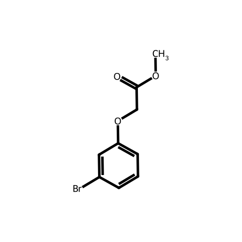 COC(=O)COc1cccc(Br)c1